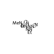 CCc1nc(Nc2ncccc2C(=O)NC)nc(N2CCN(C)CC2)n1